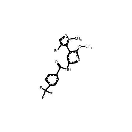 COc1ncc(NC(=O)c2ccc(C(F)(F)F)cc2)cc1-c1c(Br)cnn1C